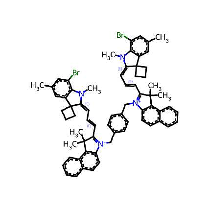 Cc1cc(Br)c2c(c1)C1(CCC1)/C(=C\C=C\C1=[N+](Cc3ccc(C[N+]4=C(/C=C/C=C5/N(C)c6c(Br)cc(C)cc6C56CCC6)C(C)(C)c5c4ccc4ccccc54)cc3)c3ccc4ccccc4c3C1(C)C)N2C